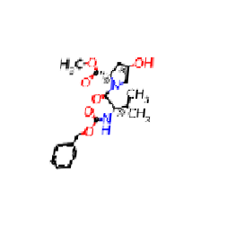 COC(=O)[C@@H]1C[C@@H](O)CN1C(=O)[C@@H](NC(=O)OCc1ccccc1)C(C)C